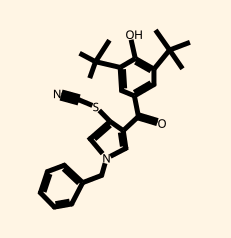 CC(C)(C)c1cc(C(=O)c2cn(Cc3ccccc3)cc2SC#N)cc(C(C)(C)C)c1O